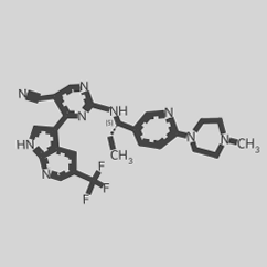 CC[C@H](Nc1ncc(C#N)c(-c2c[nH]c3ncc(C(F)(F)F)cc23)n1)c1ccc(N2CCN(C)CC2)nc1